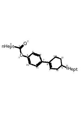 CCCCCCCC(=O)Oc1ccc(C2=CCC(CCCCCCC)CC2)cc1